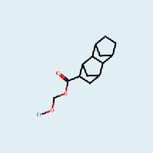 CCOCOC(=O)C1CC2CC1C1C3CCC(C3)C21